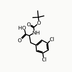 CC(C)(C)OC(=O)NC(Cc1cc(Cl)cc(Cl)c1)C(=O)O